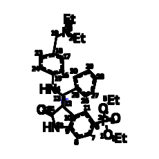 CCOP(=O)(OCC)c1ccc2c(c1)/C(=C(/Nc1ccc(CN(CC)CC)cc1)c1ccccc1)C(=O)N2